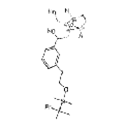 CC(C)C(C)(C)[Si](C)(C)OCCc1cccc(C(O)C[C@@H]2[C@H](CO)[C@H]3CC[C@@H]2O3)c1